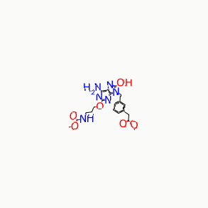 COC(=O)Cc1cccc(Cn2c(O)nc3c(N)nc(OCCCNC(=O)OC)nc32)c1